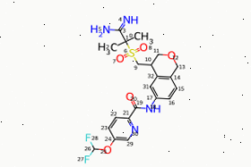 CC(C)(C(=N)N)S(=O)(=O)CC1COCc2ccc(NC(=O)c3ccc(OC(F)F)cn3)cc21